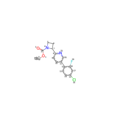 CC(C)(C)OC(=O)N1CCC1c1ccc(-c2ccc(Cl)cc2F)cn1